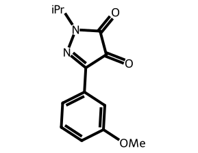 COc1cccc(C2=NN(C(C)C)C(=O)C2=O)c1